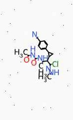 CNN=C(Cl)C(C(C)NC(=O)NC(C)=O)C1CC1c1ccc(C#N)cc1